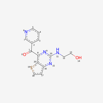 O=C(c1cccnc1)c1nc(NCCO)nc2ccsc12